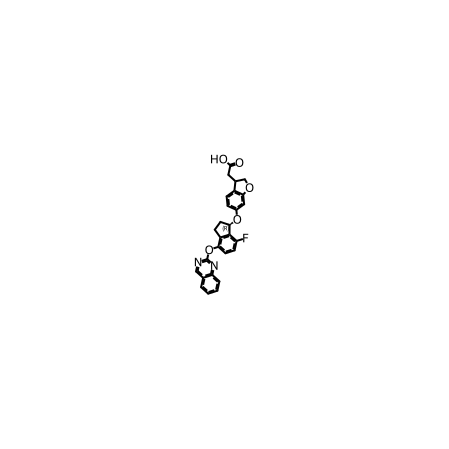 O=C(O)CC1COc2cc(O[C@@H]3CCc4c(Oc5ncc6ccccc6n5)ccc(F)c43)ccc21